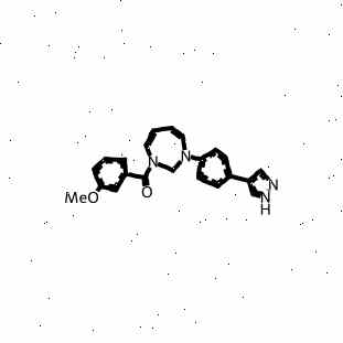 COc1cccc(C(=O)N2C=CC=CN(c3ccc(-c4cn[nH]c4)cc3)C2)c1